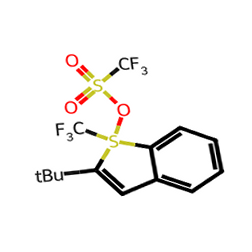 CC(C)(C)C1=Cc2ccccc2S1(OS(=O)(=O)C(F)(F)F)C(F)(F)F